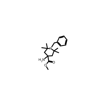 COC(=O)C1(N)CC(C)(C)N(Cc2ccccc2)C(C)(C)C1